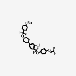 CCCCC1CCC(C(F)(F)OC2CCC(c3ccc(C(F)(F)Oc4ccc(OC=C(F)F)cc4)c(Cl)c3)CC2)CC1